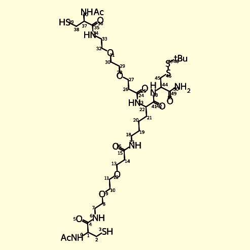 CC(=O)NC(CS)C(=O)NCCOCCOCCC(=O)NCCCCC(NC(=O)CCOCCOCCNC(=O)C(CS)NC(C)=O)C(=O)NC(CSSC(C)(C)C)C(N)=O